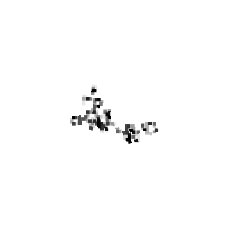 Cc1c(Cl)cc(OC(F)F)c2nc(CCc3nc(N4CCCC4)nn3C)nn12